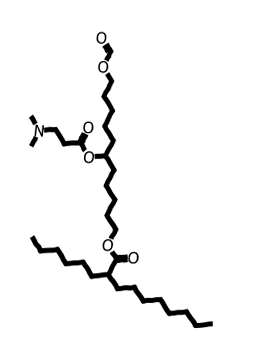 CCCCCCCCC(CCCCCC)C(=O)OCCCCCC(CCCCCOC=O)OC(=O)CCN(C)C